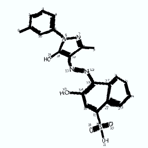 Cc1cccc(-n2nc(C)c(N=Nc3c(O)cc(S(=O)(=O)O)c4ccccc34)c2O)c1